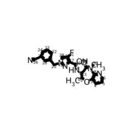 C[C@H]1Oc2cccnc2N(C)C(=O)[C@H]1NC(O)c1nn(Cc2cccc(C#N)c2)cc1F